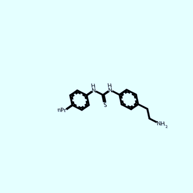 CCCc1ccc(NC(=S)Nc2ccc(CCN)cc2)cc1